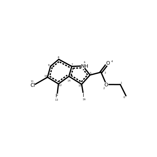 CCOC(=O)c1[nH]c2ccc(Cl)c(F)c2c1I